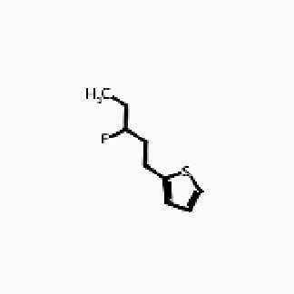 CCC(F)CCc1cccs1